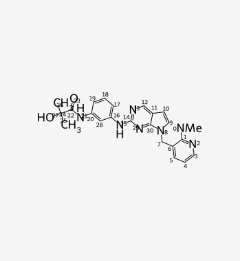 CNc1ncccc1Cn1ccc2cnc(Nc3cccc(NC(=O)C(C)(C)O)c3)nc21